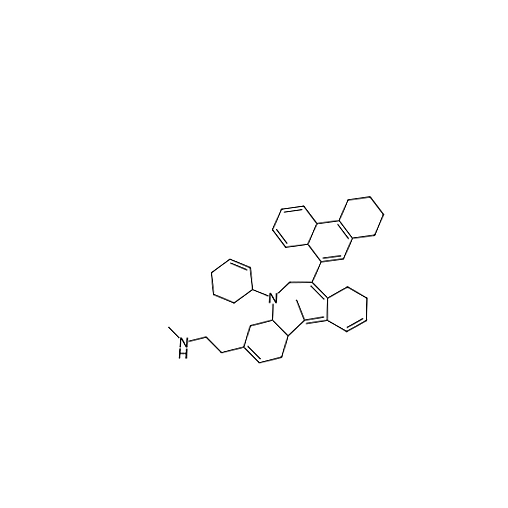 CNCCC1=CCC2/C(C)=C3\C=CCC\C3=C(/C3=CC4=C(CCCC4)C4C=CC=CC34)CN(C3C=CCCC3)C2C1